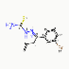 C=CC/C(=N\NC(N)=S)c1cccc(Br)c1